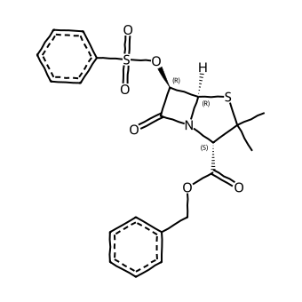 CC1(C)S[C@@H]2[C@H](OS(=O)(=O)c3ccccc3)C(=O)N2[C@H]1C(=O)OCc1ccccc1